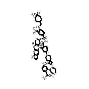 CC(C)c1ccccc1[C@@H]1COCCN1[C@H]1CC2(CCN(c3ccc(C(=O)NS(=O)(=O)c4ccc(NCC5CCC(C)(O)CC5)c([N+](=O)[O-])c4)c(N4c5cc6cc[nH]c6nc5O[C@H]5COCC[C@@H]54)c3)CC2)[C@H]1C